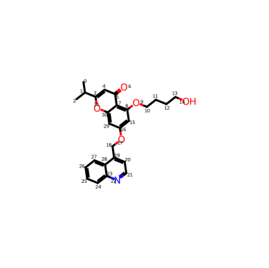 CC(C)c1cc(=O)c2c(OCCCCO)cc(OCc3ccnc4ccccc34)cc2o1